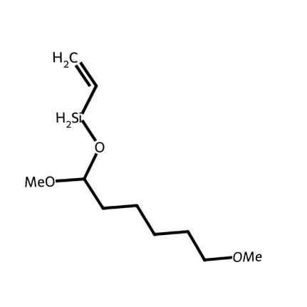 C=C[SiH2]OC(CCCCCOC)OC